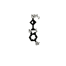 NC12CC(c3nc4ccc(Br)cc4s3)(C1)C2